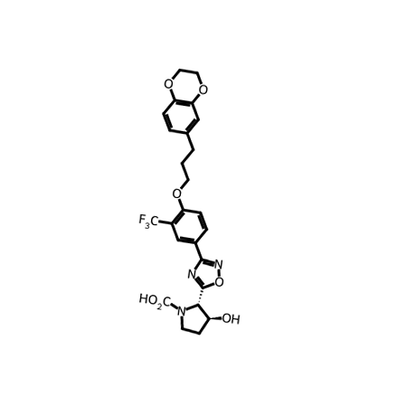 O=C(O)N1CC[C@H](O)[C@H]1c1nc(-c2ccc(OCCCc3ccc4c(c3)OCCO4)c(C(F)(F)F)c2)no1